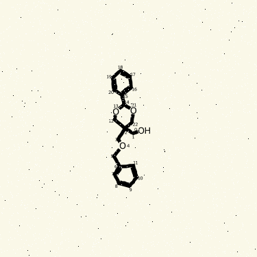 OCC1(COCc2ccccc2)COC(c2ccccc2)OC1